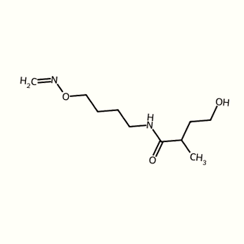 C=NOCCCCNC(=O)C(C)CCO